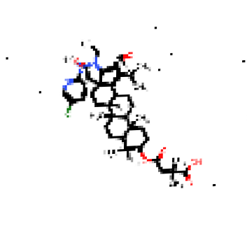 CCN(/C(=C\C=O)C1(CC=O)CC[C@]2(C)C(CCC3C4(C)CCC(OC(=O)CC(C)(C)C(=O)O)C(C)(C)C4CCC32C)/C1=C(/C)C(C)C)N(C)c1ccc(Cl)cn1